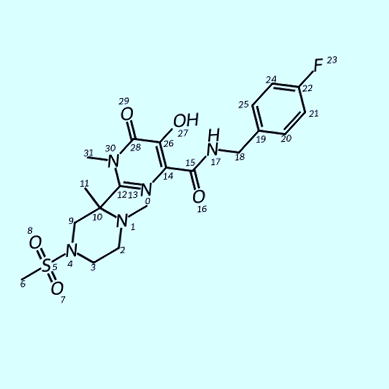 CN1CCN(S(C)(=O)=O)CC1(C)c1nc(C(=O)NCc2ccc(F)cc2)c(O)c(=O)n1C